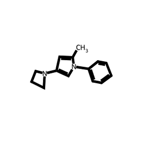 Cc1cc(N2CCC2)cn1-c1ccccc1